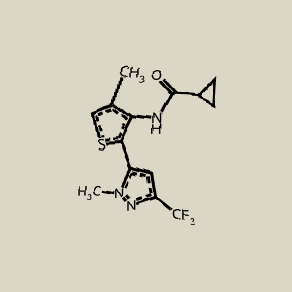 Cc1csc(-c2cc(C(F)(F)F)nn2C)c1NC(=O)C1CC1